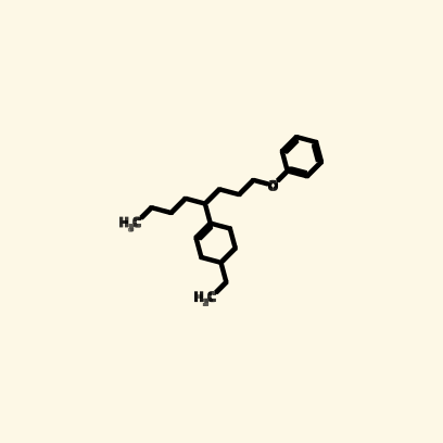 CCCCC(CCCOc1ccccc1)C1=CCC(CC)CC1